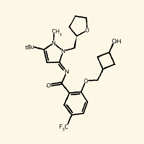 Cn1c(C(C)(C)C)cc(=NC(=O)c2cc(C(F)(F)F)ccc2OCC2CC(O)C2)n1C[C@H]1CCCO1